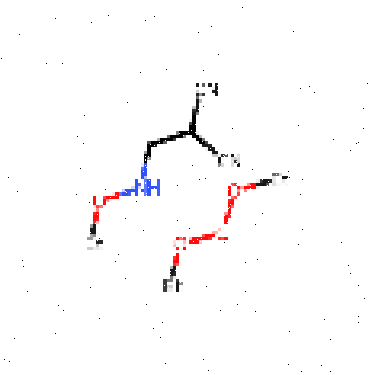 CCONCC(C#N)C#N.CCOOOCC